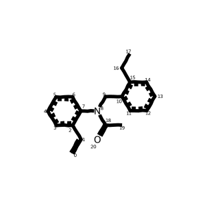 C=Cc1ccccc1N(Cc1ccccc1CC)C(C)=O